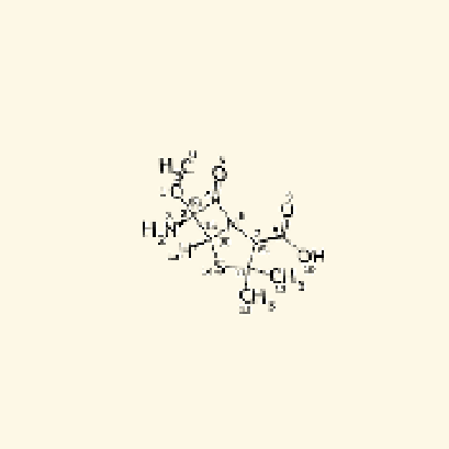 CO[C@]1(N)C(=O)N2[C@@H](C(=O)O)C(C)(C)S[C@@H]21